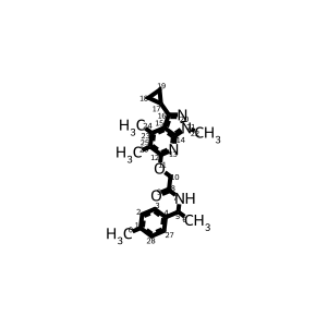 Cc1ccc(C(C)NC(=O)COc2nc3c(c(C4CC4)nn3C)c(C)c2C)cc1